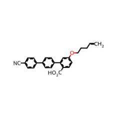 C=CCCCOc1ccc(C(=O)O)c(-c2ccc(-c3ccc(C#N)cc3)cc2)c1